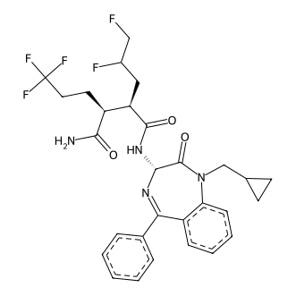 NC(=O)[C@@H](CCC(F)(F)F)[C@@H](CC(F)CF)C(=O)N[C@H]1N=C(c2ccccc2)c2ccccc2N(CC2CC2)C1=O